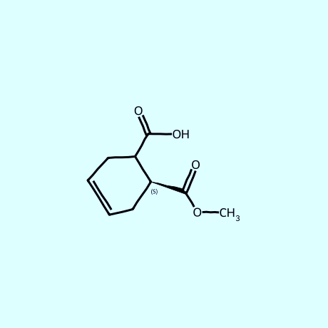 COC(=O)[C@H]1CC=CCC1C(=O)O